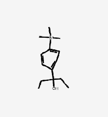 CCC(O)(CC)c1ccc([N+](C)(C)C)cc1